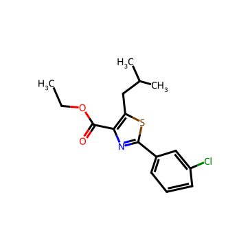 CCOC(=O)c1nc(-c2cccc(Cl)c2)sc1CC(C)C